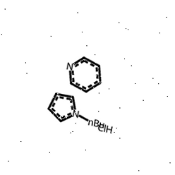 CCCCn1cccc1.Cl.c1ccncc1